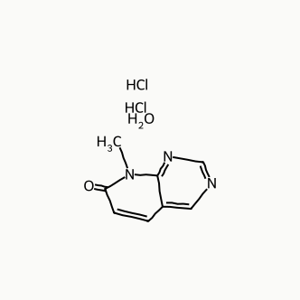 Cl.Cl.Cn1c(=O)ccc2cncnc21.O